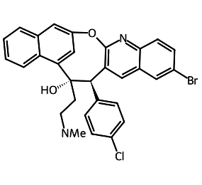 CNCC[C@@]1(O)c2cc(cc3ccccc23)Oc2nc3ccc(Br)cc3cc2[C@H]1c1ccc(Cl)cc1